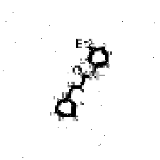 CCc1cccc(NC(=O)CCc2ccccc2)c1